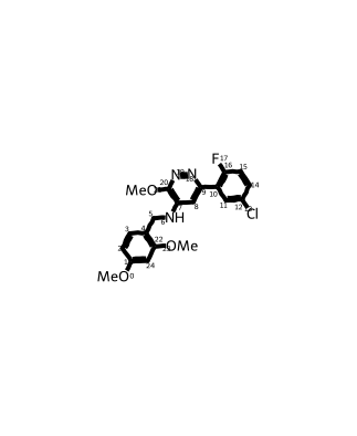 COc1ccc(CNc2cc(-c3cc(Cl)ccc3F)nnc2OC)c(OC)c1